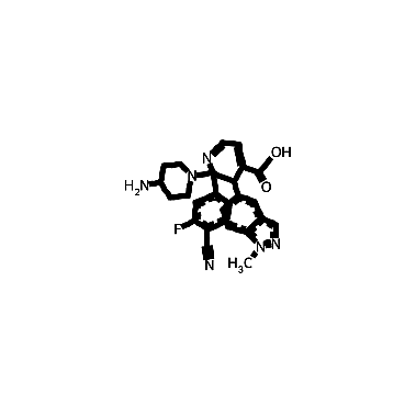 Cn1ncc2cc(C3C(C(=O)O)=CC=NC3(c3ccc(C#N)c(F)c3)N3CCC(N)CC3)ccc21